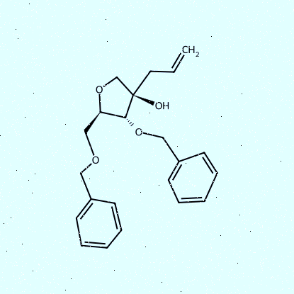 C=CC[C@@]1(O)CO[C@H](COCc2ccccc2)[C@H]1OCc1ccccc1